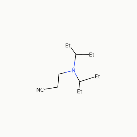 CCC(CC)N(CCC#N)C(CC)CC